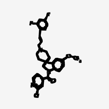 O=C(c1ccnc(Cl)c1)N1CC2(CCN(C/C=C/c3ccc(F)cc3F)CC2)c2cc(OC(F)(F)F)ccc21